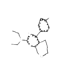 CCN(CC)c1nc2c(c(-c3ccc(F)cc3)n1)CCCNC2